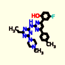 CCc1nc(Nc2nc(-c3ccc(C)cc3)cc(-c3cc(F)ccc3O)n2)nc(N2CCN(C)CC2)n1